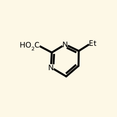 CCc1ccnc(C(=O)O)n1